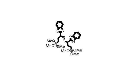 CO[Si](CCC(SSC(CC[Si](OC)(OC)OC)c1nc2ccccc2s1)c1nc2ccccc2s1)(OC)OC